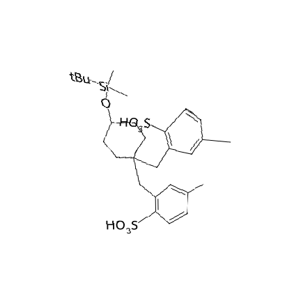 Cc1ccc(S(=O)(=O)O)c(CC2(Cc3cc(C)ccc3S(=O)(=O)O)CCC(O[Si](C)(C)C(C)(C)C)CC2)c1